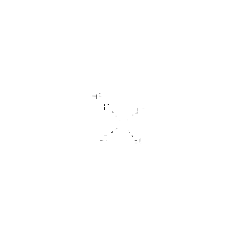 CCS(O)(CC)CC.F